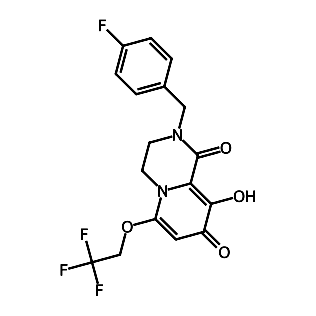 O=C1c2c(O)c(=O)cc(OCC(F)(F)F)n2CCN1Cc1ccc(F)cc1